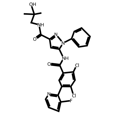 CC(C)(O)CNC(=O)c1cc(NC(=O)c2cc(-c3ncccc3F)c(Cl)cc2Cl)n(-c2ccccc2)n1